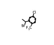 CC(Br)c1cc(Cl)ccc1C(F)(F)F